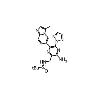 Cc1cnc2ccc(-c3nc(CN[S+]([O-])C(C)(C)C)c(N)nc3-n3nccn3)cn12